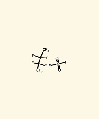 FC(F)(F)C(F)(F)C(F)(F)C(F)(F)F.O=S(=O)(F)F